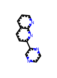 c1cnc2nc(-c3cnccn3)ccc2c1